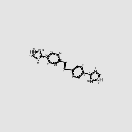 C(=Cc1ccc(-c2nc[nH]n2)cc1)c1ccc(-c2nc[nH]n2)cc1